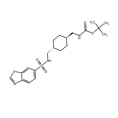 CC(C)(C)OC(=O)NC[C@H]1CC[C@H](CNS(=O)(=O)c2ccc3ncsc3c2)CC1